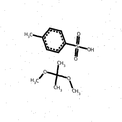 COC(C)(C)OC.Cc1ccc(S(=O)(=O)O)cc1